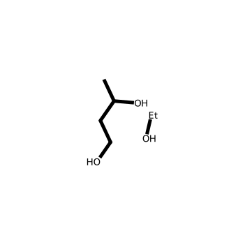 CC(O)CCO.CCO